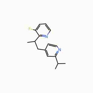 CC(C)c1cc(CC(C)c2ncccc2F)ccn1